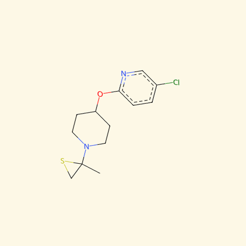 CC1(N2CCC(Oc3ccc(Cl)cn3)CC2)CS1